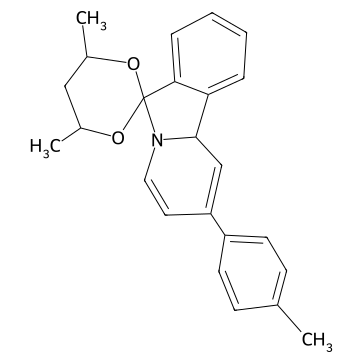 Cc1ccc(C2=CC3c4ccccc4C4(OC(C)CC(C)O4)N3C=C2)cc1